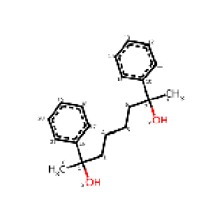 CC(O)(CCCCC(C)(O)c1ccccc1)c1ccccc1